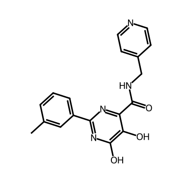 Cc1cccc(-c2nc(O)c(O)c(C(=O)NCc3ccncc3)n2)c1